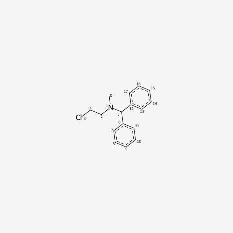 CN(CCCl)C(c1ccccc1)c1ccccc1